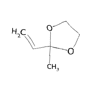 C=CC1(C)OCCO1